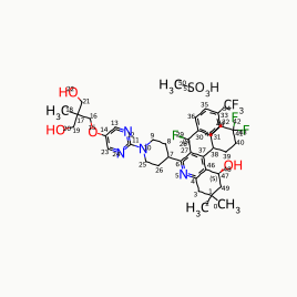 CC1(C)Cc2nc(C3CCN(c4ncc(OCC(C)(CO)CO)cn4)CC3)c([C@@H](F)c3ccc(C(F)(F)F)cc3)c(C3CCC(F)(F)CC3)c2[C@@H](O)C1.CS(=O)(=O)O